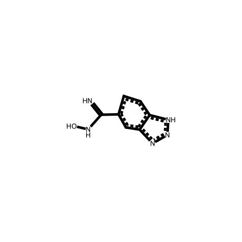 N=C(NO)c1ccc2[nH]nnc2c1